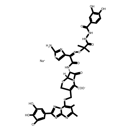 Cc1nc2nc(-c3cc(O)c(O)c(Cl)c3)nn2c(SCC2=C(C(=O)[O-])N3C(=O)[C@@H](NC(=O)/C(=N\OC(C)(C)C(=O)NNC(=O)c4ccc(O)c(O)c4)c4csc(N)n4)[C@H]3SC2)c1C.[Na+]